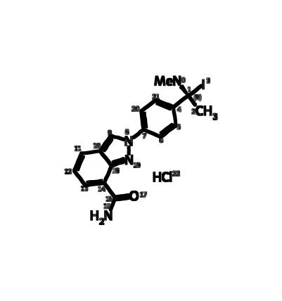 CN[C@](C)(I)c1ccc(-n2cc3cccc(C(N)=O)c3n2)cc1.Cl